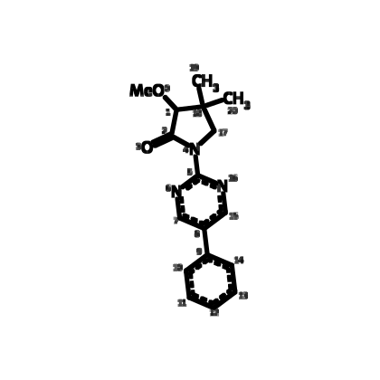 COC1C(=O)N(c2ncc(-c3ccccc3)cn2)CC1(C)C